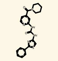 O=C(Nc1cc(C(=O)N2CCCCC2)ccn1)Nc1csc(-c2ccccc2)n1